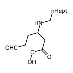 CCCCCCCCNC(CCC=O)CC(=O)OO